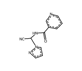 N#CC(NC(=O)c1cccnc1)n1cccn1